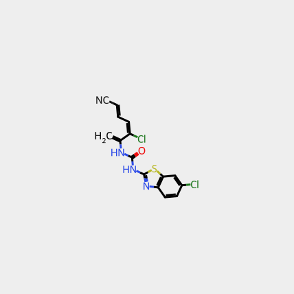 C=C(NC(=O)Nc1nc2ccc(Cl)cc2s1)/C(Cl)=C\C=C\C#N